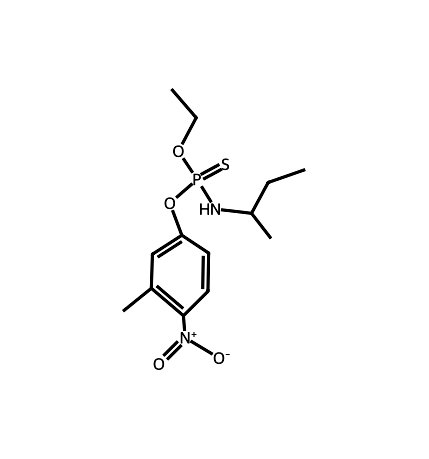 CCOP(=S)(NC(C)CC)Oc1ccc([N+](=O)[O-])c(C)c1